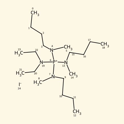 CCCCN(C)[P+](N(C)CCCC)(N(C)CCCC)N(CC)CC.[I-]